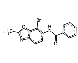 Cc1nc2ccc(NC(=O)c3ccccc3)c(Br)c2o1